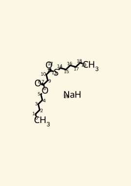 CCCCCCOC(=O)CCC(=O)SCCCCCC.[NaH]